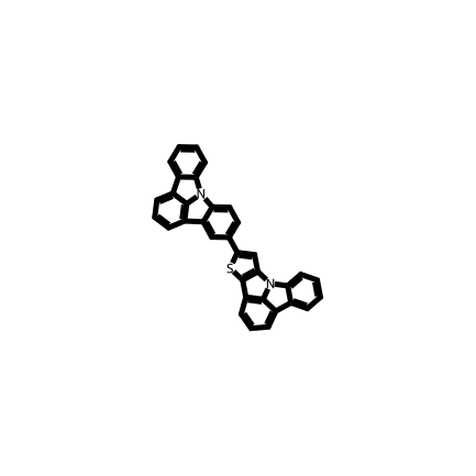 c1ccc2c(c1)c1cccc3c4cc(-c5cc6c(s5)c5cccc7c8ccccc8n6c75)ccc4n2c13